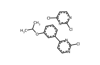 CC(C)Oc1cccc(-c2ccnc(Cl)n2)c1.Clc1ccnc(Cl)n1